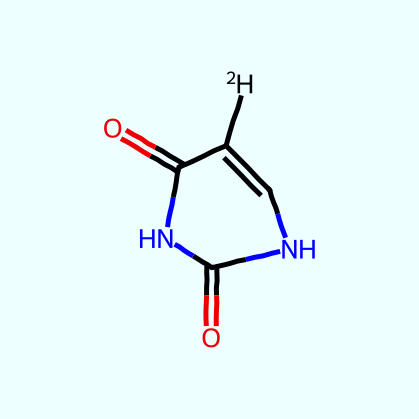 [2H]c1c[nH]c(=O)[nH]c1=O